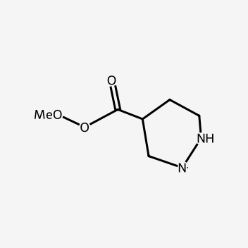 COOC(=O)C1CCN[N]C1